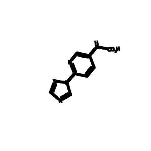 O=C(O)Nc1ccc(-n2cncn2)nc1